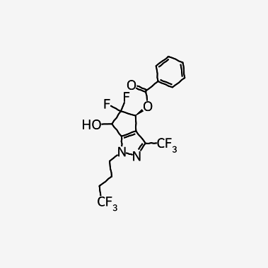 O=C(O[C@H]1c2c(C(F)(F)F)nn(CCCC(F)(F)F)c2C(O)C1(F)F)c1ccccc1